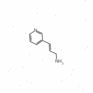 NCC=Cc1cccnc1